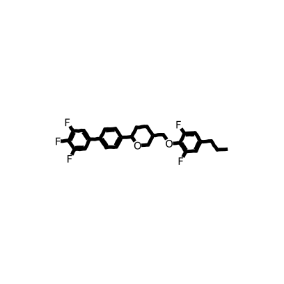 CCCc1cc(F)c(OCC2CCC(c3ccc(-c4cc(F)c(F)c(F)c4)cc3)OC2)c(F)c1